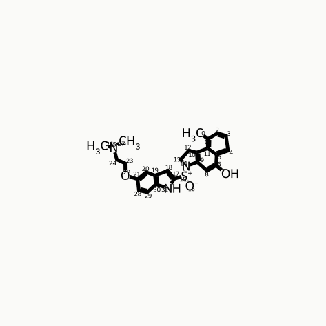 Cc1cccc2c(O)cc3c(c12)CCN3[S+]([O-])c1cc2cc(OCCN(C)C)ccc2[nH]1